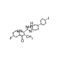 Cc1c(C(=N)/N=c2/ccc(-c3ccc(I)cc3)c[nH]2)[nH]c2ccc(F)cc2c1=O